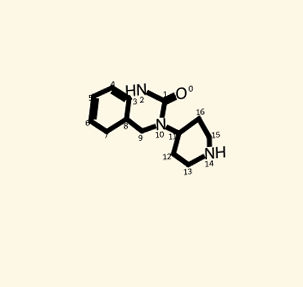 O=C1NC2=CC=CCC2CN1C1CCNCC1